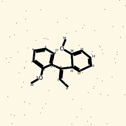 CC=C(c1ccccc1OC)c1ccccc1OC